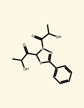 CC(O)C(=O)[C]1SC(c2ccccc2)=NN1C(=O)C(C)O